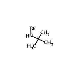 CC(C)(C)[NH][Ta]